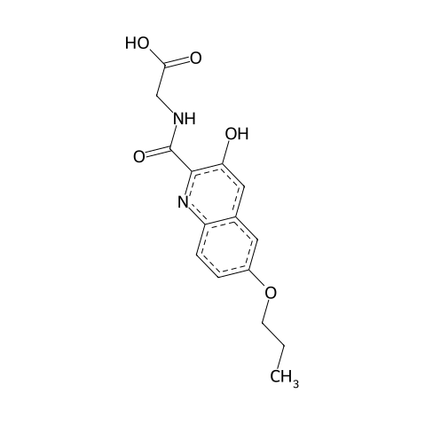 CCCOc1ccc2nc(C(=O)NCC(=O)O)c(O)cc2c1